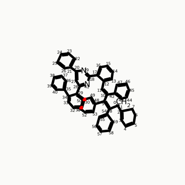 C=C(C1=CC=CCC1)/C(=C(\C(=C\c1ccccc1-c1nc(-c2ccccc2)cc(-c2ccccc2-c2ccccc2)n1)c1ccccc1)c1ccccc1)c1ccccc1